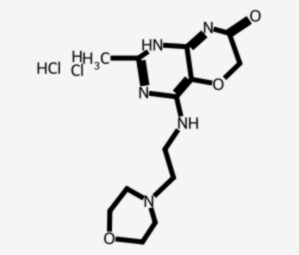 CC1=NC(NCCN2CCOCC2)=C2OCC(=O)N=C2N1.Cl.Cl